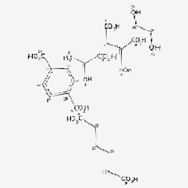 CC(O)C(=O)O.CCCCCCCCC(CC(=O)O)C(=O)O.O=C(O)CCCCC(=O)O.O=C(O)c1ccc(C(=O)O)cc1.OCCO